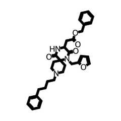 O=C(CC1NC(=O)C2(CCN(CCCCc3ccccc3)CC2)N(Cc2ccco2)C1=O)OCc1ccccc1